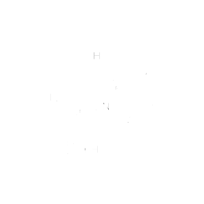 CC1C[C@H]2CCC1N2C(=O)O